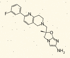 C[C@]1(CN2CCc3nc(-c4cccc(F)c4)ccc3C2)Cn2cc(N)nc2O1